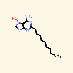 CCCCCCCCCc1nc(N)c2c(ncn2O)n1